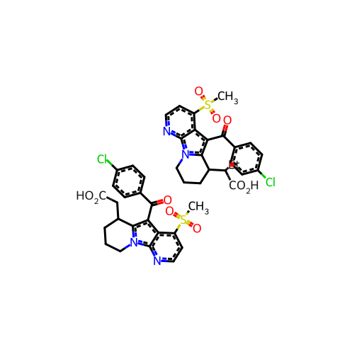 CCC(C(=O)O)C1CCCn2c1c(C(=O)c1ccc(Cl)cc1)c1c(S(C)(=O)=O)ccnc12.CS(=O)(=O)c1ccnc2c1c(C(=O)c1ccc(Cl)cc1)c1n2CCCC1CC(=O)O